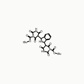 CC(C)(C)OC(=O)N1C(=O)NC(=O)C(C2NC(C3C(=O)NC(=O)N(C(=O)OC(C)(C)C)C3=O)c3ccccc32)C1=O